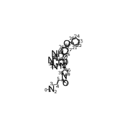 CN(C)CC=CC(=O)N1CCC(n2nc(-c3ccc(Oc4ccccc4)cc3)c3c(N)ncnc32)C1